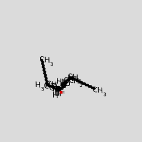 CCCCCCCCCCCCCCCC[N+](C)(C)CCOC(=O)Nc1ccc(Cc2ccc(NC(=O)OCC[N+](C)(C)CCCCCCCCCCCCCCCC)cc2)cc1.[Br-].[Br-]